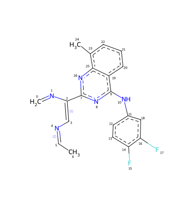 C=N/C(=C\N=C/C)c1nc(Nc2ccc(F)c(F)c2)c2cccc(C)c2n1